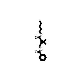 CCCCCOC(=O)C1C(COC(=O)c2ccccc2)C1(C)C